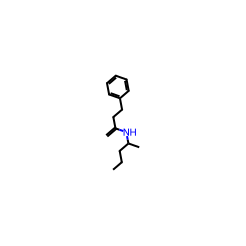 C=C(CCc1ccccc1)NC(C)CCC